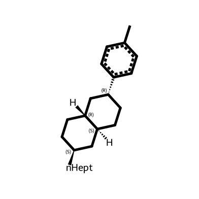 CCCCCCC[C@H]1CC[C@@H]2C[C@H](c3ccc(C)cc3)CC[C@H]2C1